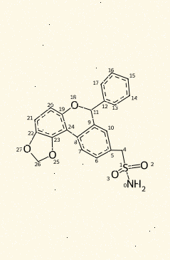 NS(=O)(=O)Cc1ccc2c(c1)C(c1ccccc1)Oc1ccc3c(c1-2)OCO3